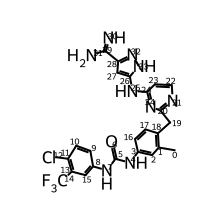 Cc1cc(NC(=O)Nc2ccc(Cl)c(C(F)(F)F)c2)ccc1Cc1nccc(Nc2cc(C(=N)N)n[nH]2)n1